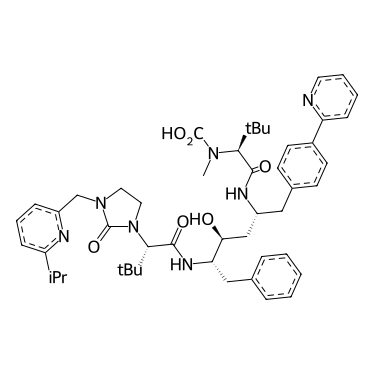 CC(C)c1cccc(CN2CCN([C@H](C(=O)N[C@@H](Cc3ccccc3)[C@@H](O)C[C@@H](Cc3ccc(-c4ccccn4)cc3)NC(=O)[C@@H](N(C)C(=O)O)C(C)(C)C)C(C)(C)C)C2=O)n1